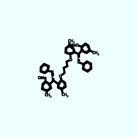 COc1ccc(C)cc1C(=C=Nc1ccccc1)c1cc(C)ccc1OCCCCOc1ccc(C)cc1C(=C=Nc1ccccc1)c1cc(C)ccc1OC